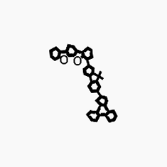 CC1(C)c2cc(-c3ccc4c5ccccc5c5ccccc5c4c3)ccc2-c2ccc(-c3cccc4c3oc3c4ccc4c5ccccc5oc43)cc21